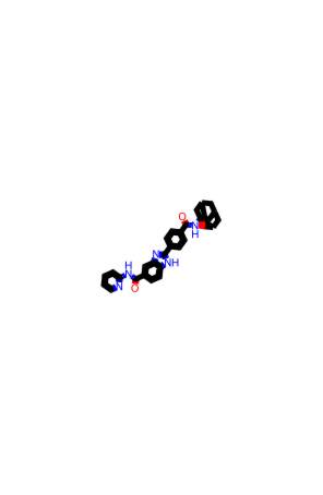 O=C(Nc1ccccn1)c1ccc2[nH]c(-c3ccc(C(=O)NC45CC6CC(C4)C(=O)C(C6)C5)cc3)nc2c1